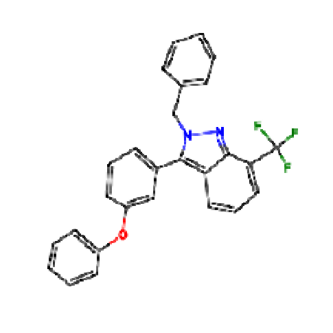 FC(F)(F)c1cccc2c(-c3cccc(Oc4ccccc4)c3)n(Cc3ccccc3)nc12